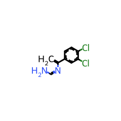 C=C(/N=C\N)c1ccc(Cl)c(Cl)c1